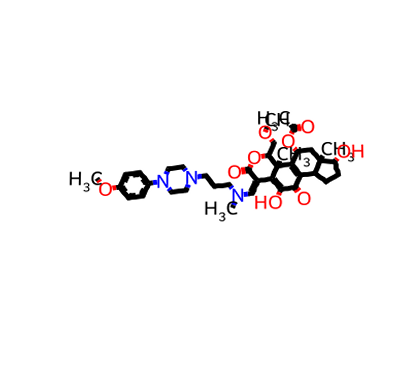 COCC1OC(=O)C(=CN(C)CCCN2CCN(c3ccc(OC)cc3)CC2)C2=C(O)C(=O)C3=C(C(OC(C)=O)CC4(C)C(O)CCC34)C21C